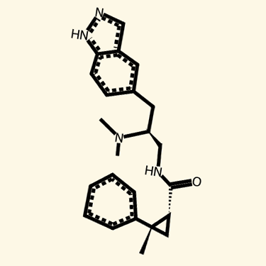 CN(C)[C@H](CNC(=O)[C@@H]1C[C@]1(C)c1ccccc1)Cc1ccc2[nH]ncc2c1